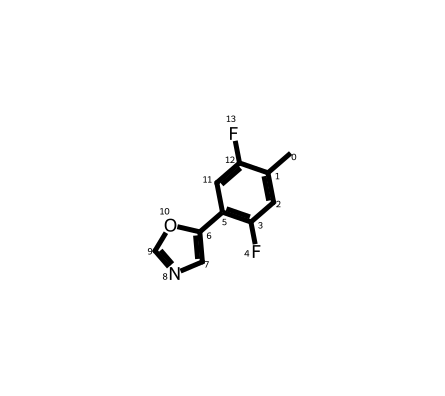 Cc1cc(F)c(-c2cnco2)cc1F